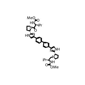 COC(=O)N[C@H](C(=O)N1CCC[C@H]1c1nc(-c2ccc(-c3ccc(-c4c[nH]c([C@@H]5CCCN5C[C@@H](NC(=O)OC)C(C)C)n4)cc3)cc2)c[nH]1)C(C)C